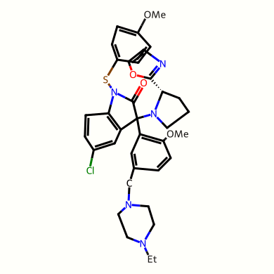 CCN1CCN(Cc2ccc(OC)c(C3(N4CCC[C@H]4c4ncco4)C(=O)N(Sc4ccc(OC)cc4)c4ccc(Cl)cc43)c2)CC1